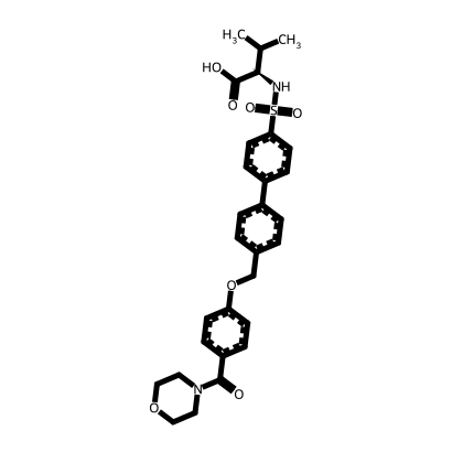 CC(C)[C@@H](NS(=O)(=O)c1ccc(-c2ccc(COc3ccc(C(=O)N4CCOCC4)cc3)cc2)cc1)C(=O)O